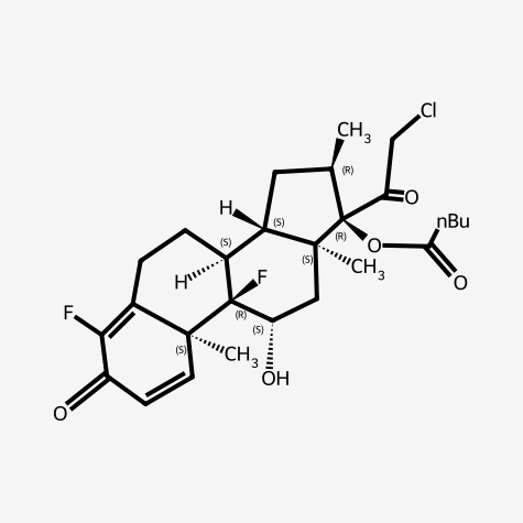 CCCCC(=O)O[C@]1(C(=O)CCl)[C@H](C)C[C@H]2[C@@H]3CCC4=C(F)C(=O)C=C[C@]4(C)[C@@]3(F)[C@@H](O)C[C@@]21C